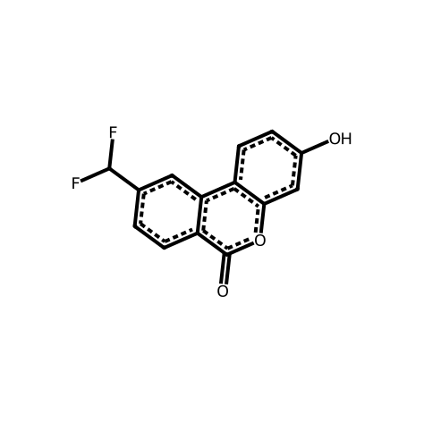 O=c1oc2cc(O)ccc2c2cc(C(F)F)ccc12